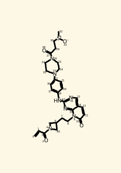 C=CC(=O)N1CC(CCn2c(=O)ccc3cnc(Nc4ccc(N5CCN(C(=O)CC[S+](C)[O-])CC5)cc4)nc32)C1